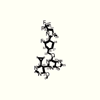 COc1ncnc(C2CC2)c1-c1nc(OCc2ccc(-c3nc(C(F)(F)F)cn3C)c(F)c2)c2ncsc2n1